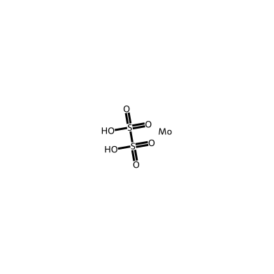 O=S(=O)(O)S(=O)(=O)O.[Mo]